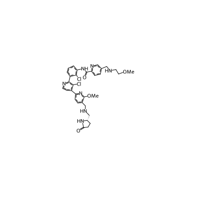 COCCNCc1ccc(C(=O)Nc2cccc(-c3nccc(-c4ccc(CNC[C@@H]5CCC(=O)N5)c(OC)n4)c3Cl)c2Cl)nc1